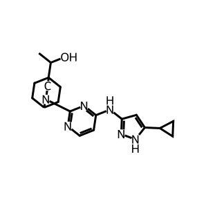 CC(O)C12CCC(CC1)N(c1nccc(Nc3cc(C4CC4)[nH]n3)n1)C2